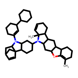 CC1=C2OC3CC4C(CC3C2CCC1)C1CCC=CC1(C)N4C1CCC2C(C1)N(C1=CC(C3CCCCC3)CCC1)C1CC3C=CC21C3